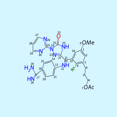 COc1cc(CCCOC(C)=O)c(F)c([C@H](Nc2ccc(C(=N)N)cc2)c2nn(-c3ncccn3)c(=O)[nH]2)c1